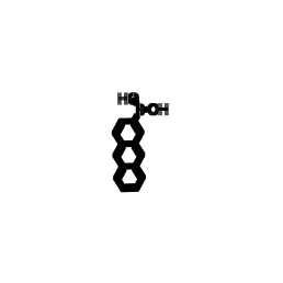 OB(O)c1ccc2cc3ccccc3cc2c1